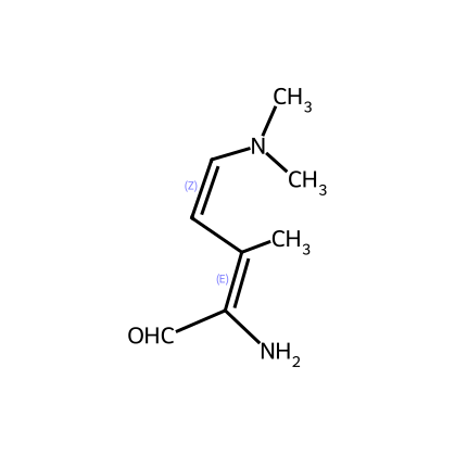 CC(/C=C\N(C)C)=C(\N)C=O